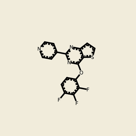 Fc1ccc(Oc2nc(-c3ccncc3)nc3ccsc23)c(F)c1F